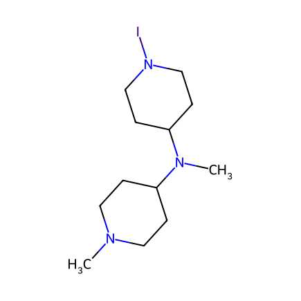 CN1CCC(N(C)C2CCN(I)CC2)CC1